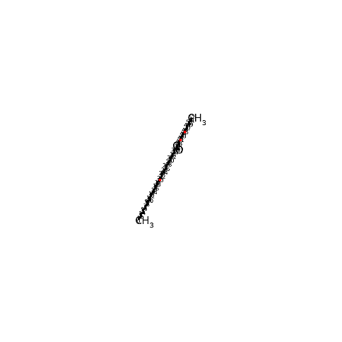 CCCCCCCCCCCCCCCCCCCCCCCCCCCCCCCCCCCCC(=O)OCCCCCCCCCCCCCC